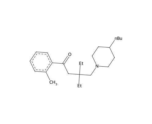 CCCCC1CCN(CC(CC)(CC)CC(=O)c2ccccc2C)CC1